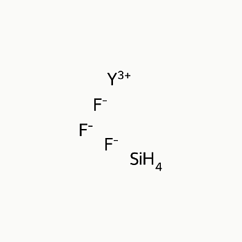 [F-].[F-].[F-].[SiH4].[Y+3]